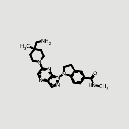 CNC(=O)c1ccc2c(c1)CCN2n1ncc2ncc(N3CCC(C)(CN)CC3)nc21